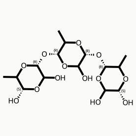 CC1O[C@H](O)C(O)O[C@@H]1O[C@H]1OC(C)[C@@H](O[C@H]2OC(C)[C@@H](O)OC2O)OC1O